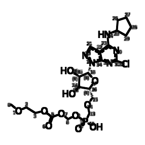 COCCOC(=O)OCOP(=O)(O)COC[C@H]1O[C@@H](n2ncc3c(NC4CCCC4)nc(Cl)nc32)[C@H](O)[C@@H]1O